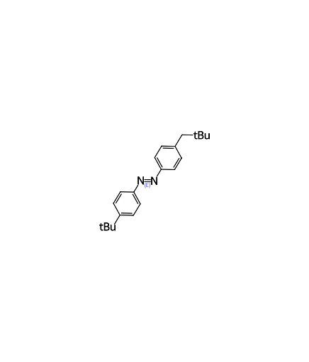 CC(C)(C)Cc1ccc(/N=N/c2ccc(C(C)(C)C)cc2)cc1